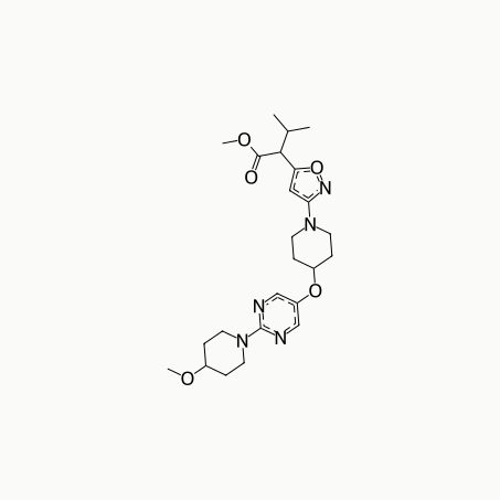 COC(=O)C(c1cc(N2CCC(Oc3cnc(N4CCC(OC)CC4)nc3)CC2)no1)C(C)C